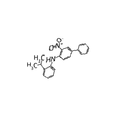 CC(C)c1ccccc1Nc1ccc(-c2ccccc2)cc1[N+](=O)[O-]